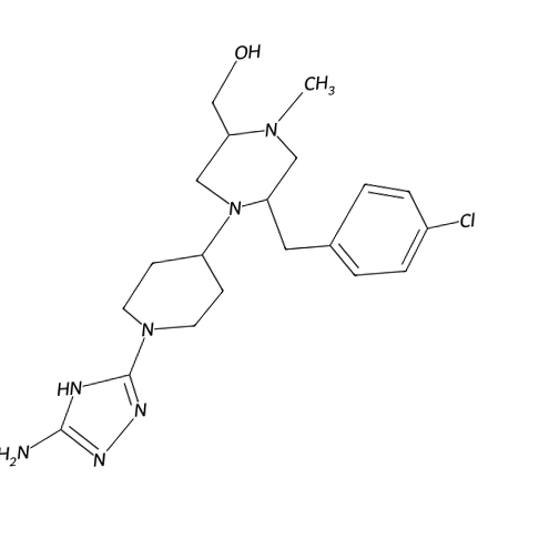 CN1CC(Cc2ccc(Cl)cc2)N(C2CCN(c3nnc(N)[nH]3)CC2)CC1CO